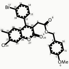 COc1ccc(COC(=O)Cc2c(-c3cccc(Br)c3)c3cc(C)c(Cl)cc3oc2=O)cc1